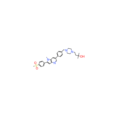 Cn1c(-c2ccc(S(C)(=O)=O)cc2)cc2ncc(-c3ccc(CN4CCN(CCC(C)(C)O)CC4)cc3)cc21